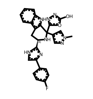 Cn1cc(C2(c3nnc(O)o3)N[C@@H](c3nc(-c4ccc(F)cc4)c[nH]3)Cc3c2[nH]c2ccccc32)cn1